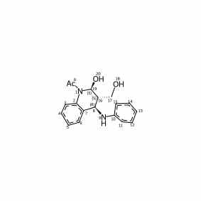 CC(=O)N1c2ccccc2[C@H](Nc2ccccc2)[C@@H](CO)[C@@H]1O